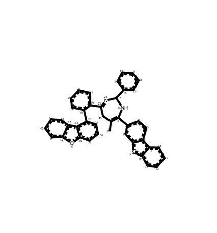 CC1=C(c2ccc3c(c2)sc2ccccc23)NC(c2ccccc2)N=C(c2ccccc2-c2cccc3oc4ccccc4c23)C1